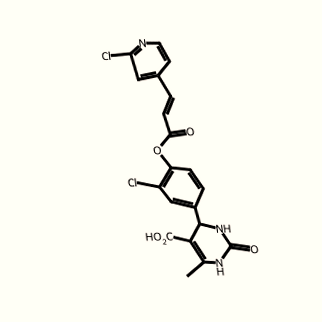 CC1=C(C(=O)O)C(c2ccc(OC(=O)C=Cc3ccnc(Cl)c3)c(Cl)c2)NC(=O)N1